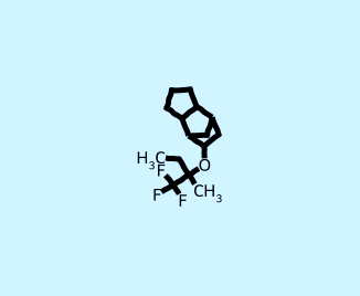 CCC(C)(OC1CC2CC1C1CCCC21)C(F)(F)F